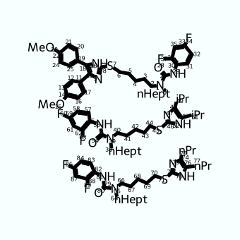 CCCCCCCN(CCCCCSc1nc(-c2ccc(OC)cc2)c(-c2ccc(OC)cc2)[nH]1)C(=O)Nc1ccc(F)cc1F.CCCCCCCN(CCCCCSc1nc(C(C)C)c(C(C)C)[nH]1)C(=O)Nc1ccc(F)cc1F.CCCCCCCN(CCCCCSc1nc(CCC)c(CCC)[nH]1)C(=O)Nc1ccc(F)cc1F